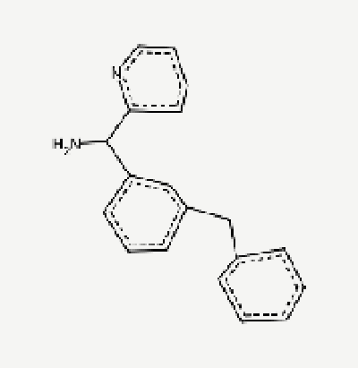 NC(c1cccc(Cc2ccccc2)c1)c1ccccn1